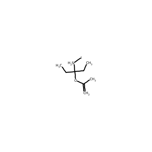 C=C(C)OC(CC)(CC)[SiH2]I